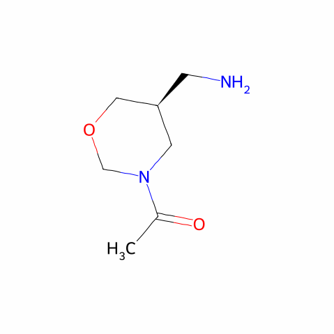 CC(=O)N1COC[C@@H](CN)C1